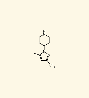 Cc1cc(C(F)(F)F)nn1C1CCNCC1